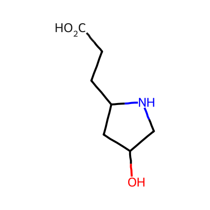 O=C(O)CCC1CC(O)CN1